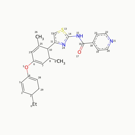 CCC1C=CC(OC2=CC(C)C(c3csc(NC(=O)c4ccncc4)n3)C(C)=C2)=CC1